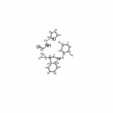 Cc1ccc(C)c(Cn2cc([C@H]3C[C@@H]3C(=O)NCc3ccco3)c3ccccc32)c1